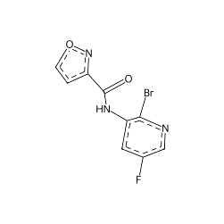 O=C(Nc1cc(F)cnc1Br)c1ccon1